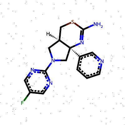 NC1=N[C@@]2(c3cccnc3)CN(c3ncc(F)cn3)C[C@H]2CS1